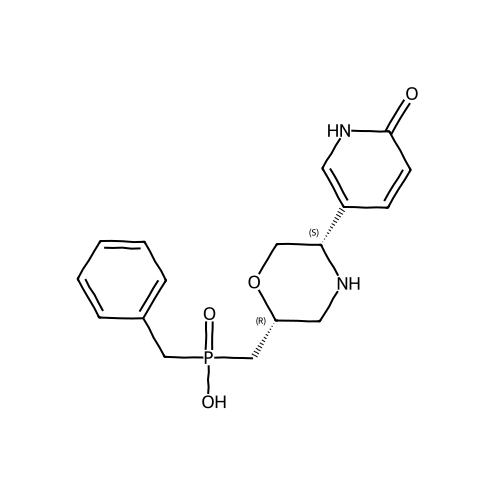 O=c1ccc([C@H]2CO[C@@H](CP(=O)(O)Cc3ccccc3)CN2)c[nH]1